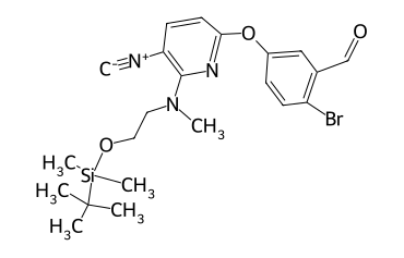 [C-]#[N+]c1ccc(Oc2ccc(Br)c(C=O)c2)nc1N(C)CCO[Si](C)(C)C(C)(C)C